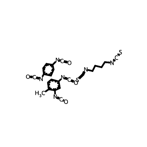 Cc1ccc(N=C=O)cc1N=C=O.O=C=Nc1ccc(N=C=O)cc1.S=C=NCCCCN=C=S